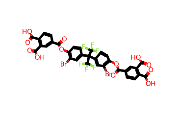 O=C(Oc1ccc(C(c2ccc(OC(=O)c3ccc(C(=O)O)c(C(=O)O)c3)c(Br)c2)(C(F)(F)F)C(F)(F)F)cc1Br)c1ccc(C(=O)O)c(C(=O)O)c1